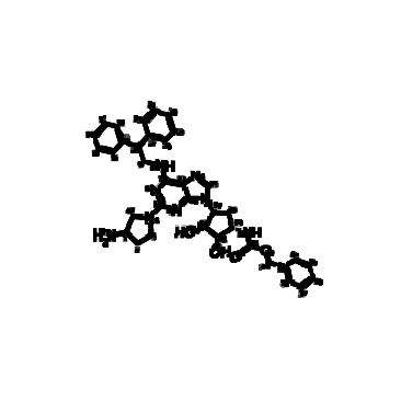 NC1CCN(c2nc(NCC(c3ccccc3)c3ccccc3)c3ncn([C@@H]4C[C@H](NC(=O)OCc5ccccc5)[C@@H](O)[C@H]4O)c3n2)C1